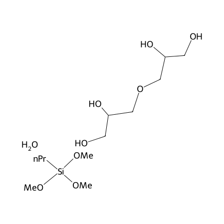 CCC[Si](OC)(OC)OC.O.OCC(O)COCC(O)CO